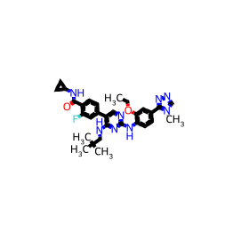 CCOc1cc(-c2nncn2C)ccc1Nc1ncc(-c2ccc(C(=O)NC3CC3)c(F)c2)c(NCC(C)(C)C)n1